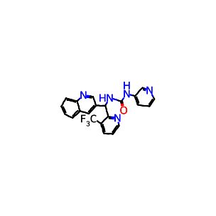 O=C(Nc1cccnc1)NC(c1cnc2ccccc2c1)c1ncccc1C(F)(F)F